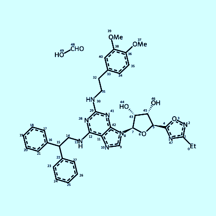 CCc1noc([C@H]2O[C@@H](n3cnc4c(NCC(c5ccccc5)c5ccccc5)nc(NCCc5ccc(OC)c(OC)c5)nc43)[C@H](O)[C@@H]2O)n1.O=CO